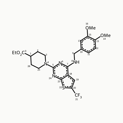 CCOC(=O)C1CCN(c2nc(NCc3ccc(OC)c(OC)c3)c3cc(C(F)(F)F)sc3n2)CC1